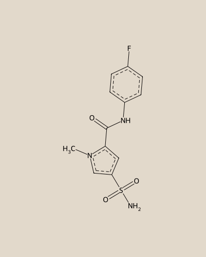 Cn1cc(S(N)(=O)=O)cc1C(=O)Nc1ccc(F)cc1